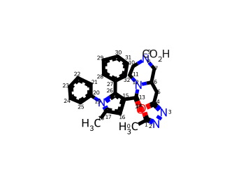 Cc1nnc(CC2CN(C(=O)O)CCN2C(=O)c2cc(C)n(-c3ccccc3)c2-c2ccccc2)o1